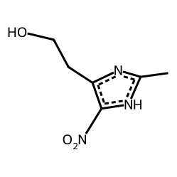 Cc1nc(CCO)c([N+](=O)[O-])[nH]1